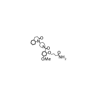 COc1ccc(C(=O)N2CCC(N3C(=O)CCc4ccccc43)CC2)c(OCCCC(N)=O)c1